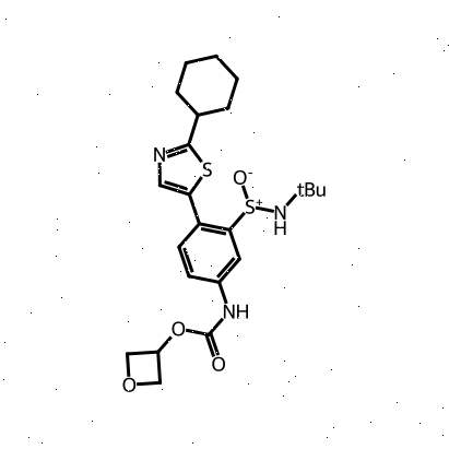 CC(C)(C)N[S+]([O-])c1cc(NC(=O)OC2COC2)ccc1-c1cnc(C2CCCCC2)s1